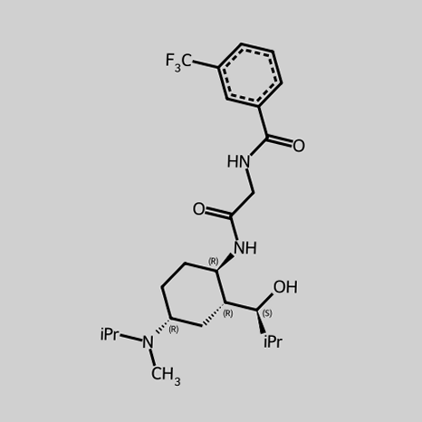 CC(C)[C@H](O)[C@@H]1C[C@H](N(C)C(C)C)CC[C@H]1NC(=O)CNC(=O)c1cccc(C(F)(F)F)c1